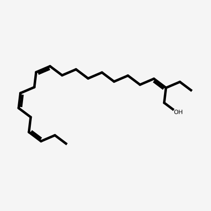 CC/C=C\C/C=C\C/C=C\CCCCCCC/C=C(/CC)CO